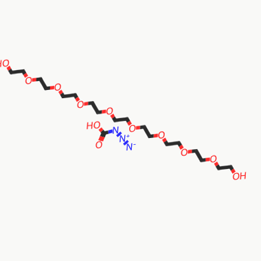 OCCOCCOCCOCCOCCOCCOCCOCCOCCO.[N-]=[N+]=NC(=O)O